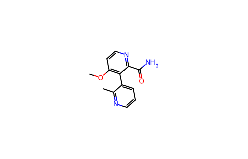 COc1ccnc(C(N)=O)c1-c1cccnc1C